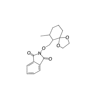 CC1CCCC2(OCCO2)C1CON1C(=O)c2ccccc2C1=O